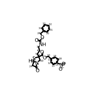 O=C(NCCCC1(C(=O)OCc2ccc([N+](=O)[O-])cc2)CN2C(=O)C[C@H]2S1)OCc1ccccc1